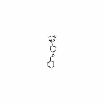 [CH]1[C](c2ccc(OCc3ccccc3)cc2)C2CCN1CC2